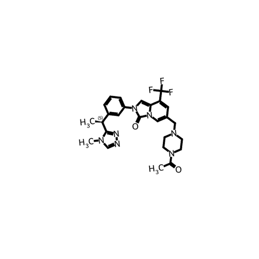 CC(=O)N1CCN(Cc2cc(C(F)(F)F)c3cn(-c4cccc([C@H](C)c5nncn5C)c4)c(=O)n3c2)CC1